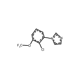 FC(F)(F)Oc1cccc(-n2[c]ncc2)c1Cl